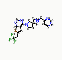 FC(F)(F)Cc1cc2c(N3CCC4(CN(Cc5ccncn5)C4)C3)ncnc2s1